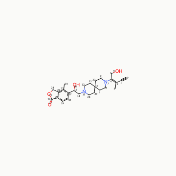 C#C/C(C)=C(\CO)N1CCC2(CCN(C[C@H](O)c3ccc4c(c3C)COC4=O)CC2)CC1